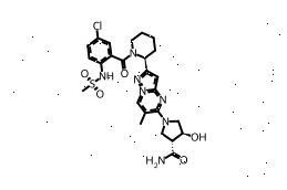 Cc1cn2nc([C@@H]3CCCCN3C(=O)c3cc(Cl)ccc3NS(C)(=O)=O)cc2nc1N1C[C@@H](O)[C@H](C(N)=O)C1